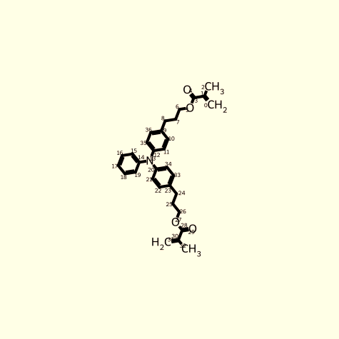 C=C(C)C(=O)OCCCc1ccc(N(c2ccccc2)c2ccc(CCCOC(=O)C(=C)C)cc2)cc1